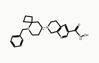 O=C(NO)c1cnc2c(c1)CCN([C@@H]1CCN(Cc3ccccc3)C3(CCC3)C1)C2